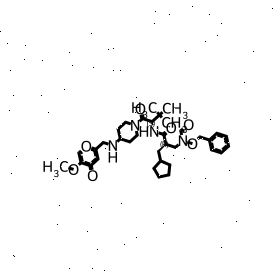 COc1coc(CNC2CCN(C(=O)[C@@H](NC(=O)[C@H](CC3CCCC3)CN(C=O)OCc3ccccc3)C(C)(C)C)CC2)cc1=O